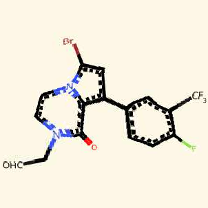 O=CCn1ccn2c(Br)cc(-c3ccc(F)c(C(F)(F)F)c3)c2c1=O